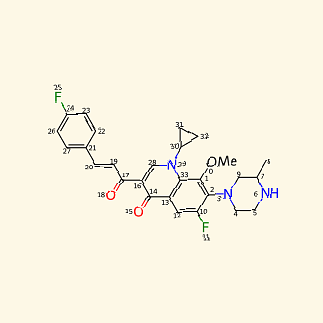 COc1c(N2CCNC(C)C2)c(F)cc2c(=O)c(C(=O)C=Cc3ccc(F)cc3)cn(C3CC3)c12